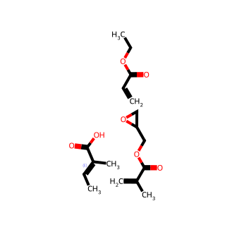 C/C=C(\C)C(=O)O.C=C(C)C(=O)OCC1CO1.C=CC(=O)OCC